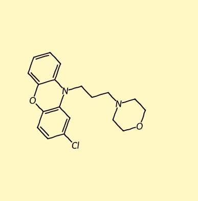 Clc1ccc2c(c1)N(CCCN1CCOCC1)c1ccccc1O2